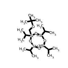 CC(C)[SiH]1O[SiH](C(C)C)O[Si](COC(C)(C)C)(C(C)C)O[SiH](C(C)C)O1